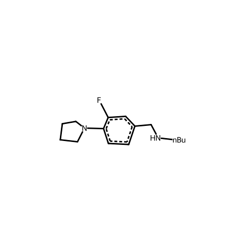 CCCCNCc1ccc(N2CCCC2)c(F)c1